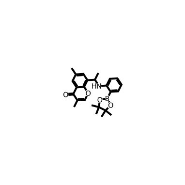 Cc1cc(C(C)Nc2ccccc2B2OC(C)(C)C(C)(C)O2)c2occ(C)c(=O)c2c1